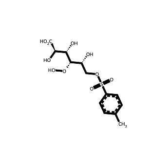 Cc1ccc(S(=O)(=O)OC[C@@H](O)[C@H](OO)[C@@H](O)[C@@H](O)C(=O)O)cc1